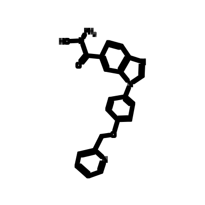 O=C(c1ccc2ncn(-c3ccc(OCc4ccccn4)cc3)c2c1)N(O)P